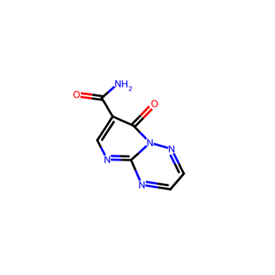 NC(=O)c1cnc2nccnn2c1=O